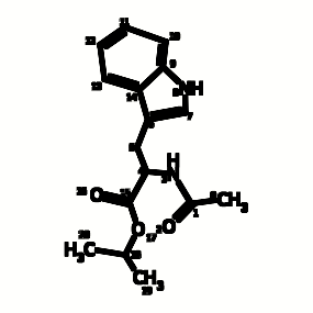 CC(=O)NC(Cc1c[nH]c2ccccc12)C(=O)OC(C)C